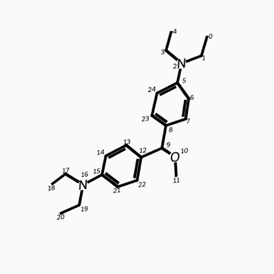 CCN(CC)c1ccc(C(OC)c2ccc(N(CC)CC)cc2)cc1